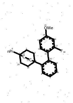 CCCC12CCC(c3ccccc3-c3ccc(OC)cc3F)(CC1)CC2